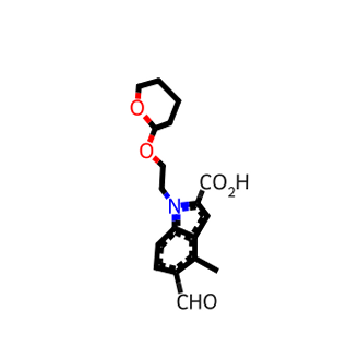 Cc1c(C=O)ccc2c1cc(C(=O)O)n2CCOC1CCCCO1